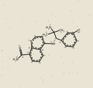 CC(C)(N)[C@@H](Nc1ccnc2c(C(N)=O)cccc12)c1cccc(Cl)c1